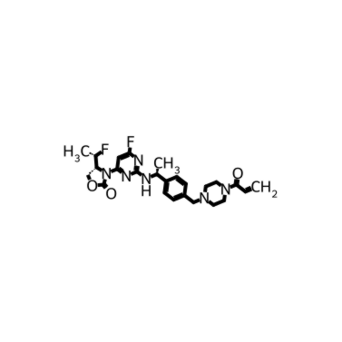 C=CC(=O)N1CCN(Cc2ccc([C@H](C)Nc3nc(F)cc(N4C(=O)OC[C@@H]4[C@H](C)F)n3)cc2)CC1